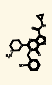 N#Cc1ccccc1Cn1c(N2CCC[C@@H](N)C2)nc2c(C(=O)NC3CC3)csc2c1=O